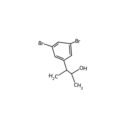 [CH2]C(c1cc(Br)cc(Br)c1)C(C)O